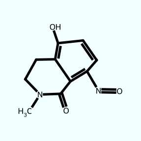 CN1CCc2c(O)ccc(N=O)c2C1=O